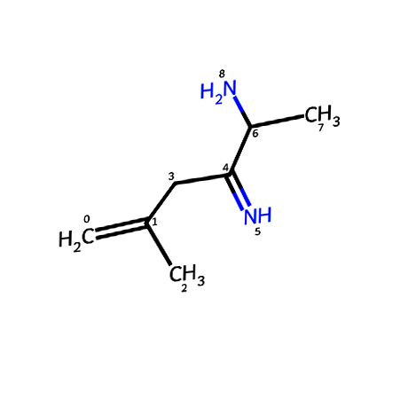 C=C(C)CC(=N)C(C)N